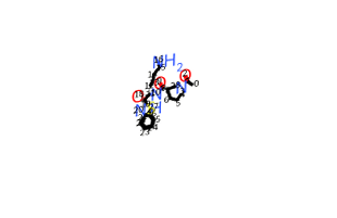 CC(=O)N1CCC[C@H](C(=O)N[C@@H](CCCCN)C(=O)c2nc3ccccc3s2)C1